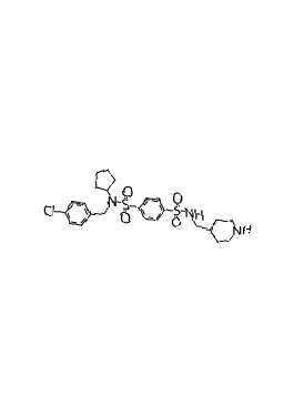 O=S(=O)(NCC1CCNCC1)c1ccc(S(=O)(=O)N(Cc2ccc(Cl)cc2)C2CCCC2)cc1